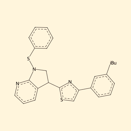 CCC(C)c1cccc(-c2csc(C3CN(Sc4ccccc4)c4ncccc43)n2)c1